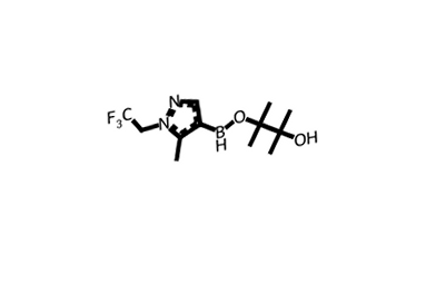 Cc1c(BOC(C)(C)C(C)(C)O)cnn1CC(F)(F)F